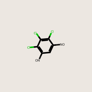 O=Nc1cc(N=O)c(Cl)c(Cl)c1Cl